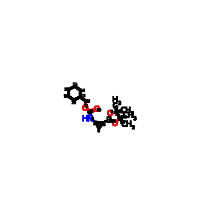 CC1(C)OB([C@H]2C[C@@H]2NC(=O)OCC2CCCCC2)OC1(C)C